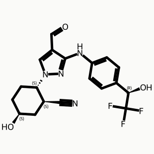 N#C[C@H]1C[C@@H](O)CC[C@@H]1n1cc(C=O)c(Nc2ccc([C@@H](O)C(F)(F)F)cc2)n1